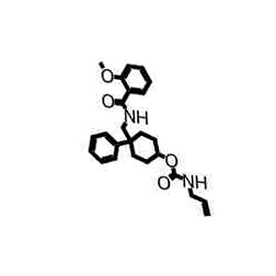 C=CCNC(=O)OC1CCC(CNC(=O)c2ccccc2OC)(c2ccccc2)CC1